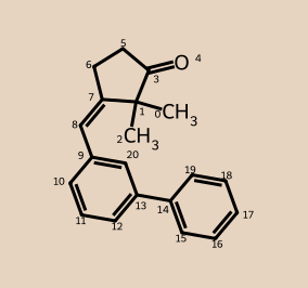 CC1(C)C(=O)CCC1=Cc1cccc(-c2ccccc2)c1